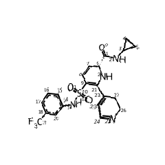 O=C(NC1CC1)[C@H]1C=CC(S(=O)(=O)Nc2cccc(C(F)(F)F)c2)=C(C2=CC=NCC2)N1